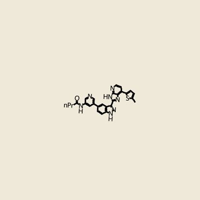 CCCC(=O)Nc1cncc(-c2ccc3[nH]nc(-c4nc5c(-c6ccc(C)s6)ccnc5[nH]4)c3c2)c1